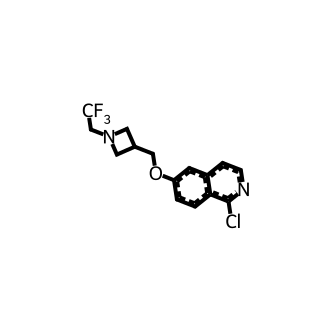 FC(F)(F)CN1CC(COc2ccc3c(Cl)nccc3c2)C1